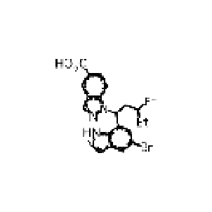 CCC(CC)CC(c1cc(Br)cc2cn[nH]c12)n1ncc2cc(C(=O)O)ccc21